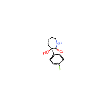 O=C1NCCCCC1(O)c1ccc(F)cc1